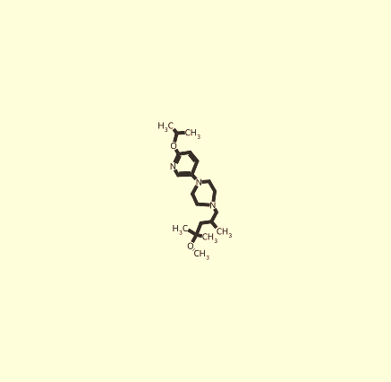 COC(C)(C)CC(C)CN1CCN(c2ccc(OC(C)C)nc2)CC1